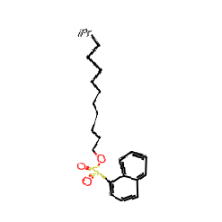 CC(C)CCCCCCCCCCOS(=O)(=O)c1cccc2ccccc12